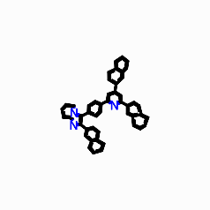 c1ccc2cc(-c3cc(-c4ccc(-c5c(-c6ccc7ccccc7c6)nc6ccccn56)cc4)nc(-c4ccc5ccccc5c4)c3)ccc2c1